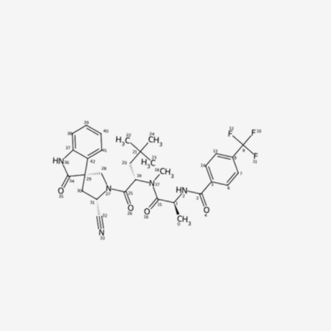 C[C@H](NC(=O)c1ccc(C(F)(F)F)cc1)C(=O)N(C)[C@@H](CC(C)(C)C)C(=O)N1C[C@]2(C[C@H]1C#N)C(=O)Nc1ccccc12